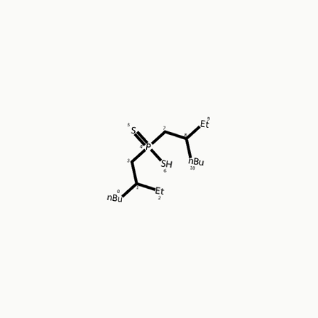 CCCCC(CC)CP(=S)(S)CC(CC)CCCC